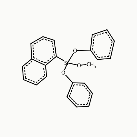 CO[Si](Oc1ccccc1)(Oc1ccccc1)c1cccc2ccccc12